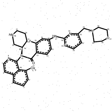 Cc1cccc2ccnc(N(C(=O)c3ccc(Nc4nccc(CN5CCOCC5)n4)cc3F)[C@@H]3CCCNC3)c12